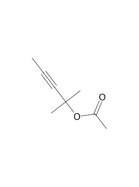 CC#CC(C)(C)OC(C)=O